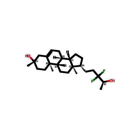 C[C@H](O)C(F)(F)CC[C@H]1CC[C@H]2[C@@H]3CC=C4C[C@@](C)(O)CC[C@]4(C)[C@H]3CC[C@]12C